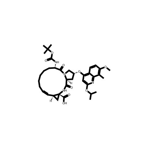 COc1ccc2c(O[C@@H]3C[C@H]4C(=O)N[C@]5(C(=O)O)C[C@H]5/C=C\CCCCC[C@H](NC(=O)OC(C)(C)C)C(=O)N4C3)cc(OC(C)C)nc2c1C